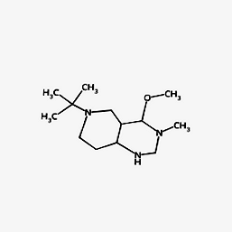 COC1C2CN(C(C)(C)C)CCC2NCN1C